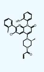 C=CC(=O)N1CCN(c2cc(=O)n(-c3ccccc3CCC)c3nc(-c4ccccc4F)c(Cl)cc23)[C@@H](C)C1